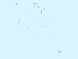 CC(C)(C)CCC(F)(F)C(F)(F)C(F)(C(F)(F)F)C(F)(F)F